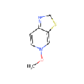 CON1C=CC2=N[CH]SC2=C1